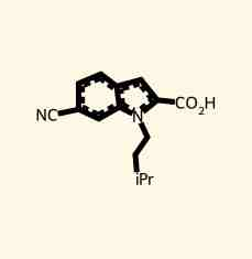 CC(C)CCn1c(C(=O)O)cc2ccc(C#N)cc21